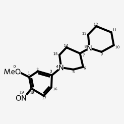 COc1cc(N2CCC(N3CCCCC3)CC2)ccc1N=O